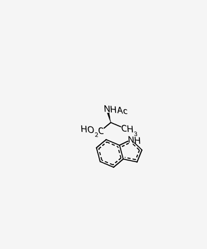 CC(=O)N[C@@H](C)C(=O)O.c1ccc2[nH]ccc2c1